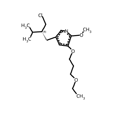 CCOCCCOc1cc(C[C@@H](CCl)C(C)C)cnc1OC